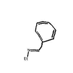 CCN=Cc1ccccc1